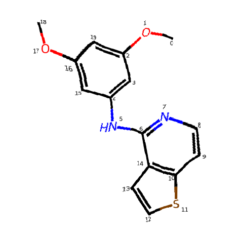 COc1cc(Nc2nccc3sccc23)cc(OC)c1